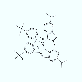 CC1=Cc2cc(C(C)C)ccc2[CH]1[Zr]([O]c1ccc(C(F)(F)F)cc1)([O]c1ccc(C(F)(F)F)cc1)([CH]1C(C)=Cc2cc(C(C)C)ccc21)=[Si](C)C